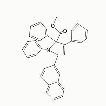 COC(=O)C1(c2ccccc2)C(c2ccccc2)=CC(c2ccc3ccccc3c2)N1c1ccccc1